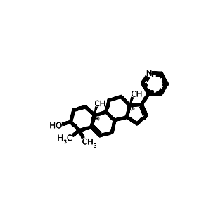 CC1(C)C2=CCC3C(CC[C@]4(C)C(c5cccnc5)=CCC34)[C@@]2(C)CCC1O